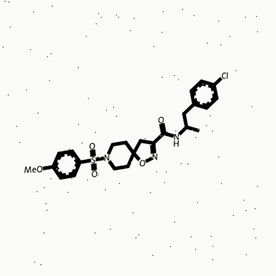 COc1ccc(S(=O)(=O)N2CCC3(CC2)CC(C(=O)NC(C)Cc2ccc(Cl)cc2)=NO3)cc1